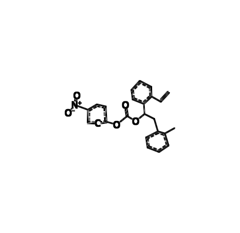 C=Cc1ccccc1C(Cc1ccccc1C)OC(=O)Oc1ccc([N+](=O)[O-])cc1